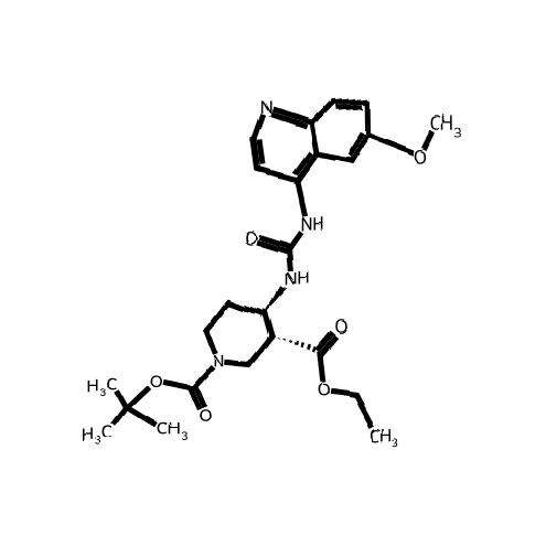 CCOC(=O)[C@@H]1CN(C(=O)OC(C)(C)C)CC[C@H]1NC(=O)Nc1ccnc2ccc(OC)cc12